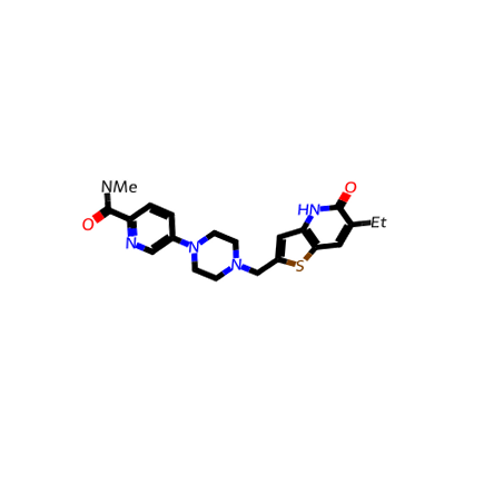 CCc1cc2sc(CN3CCN(c4ccc(C(=O)NC)nc4)CC3)cc2[nH]c1=O